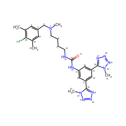 Cc1cc(CN(C)CCCCNC(=O)Nc2cc(-c3nnnn3C)cc(-c3nnnn3C)c2)cc(C)c1F